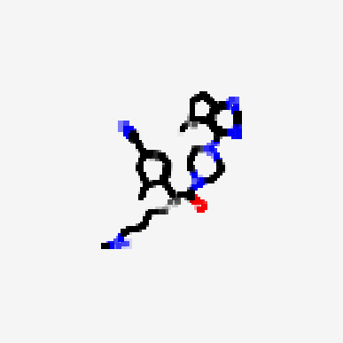 CNCCCC[C@@H](C(=O)N1CCN(c2ncnc3c2[C@H](C)CC3)CC1)C1=CC=C(C#N)CC1C